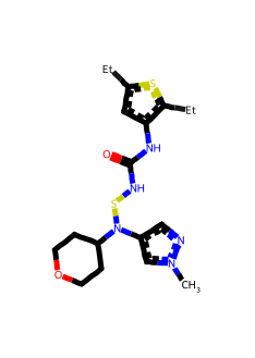 CCc1cc(NC(=O)NSN(c2cnn(C)c2)C2CCOCC2)c(CC)s1